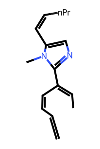 C=C/C=C\C(=C/C)c1ncc(/C=C\CCC)n1C